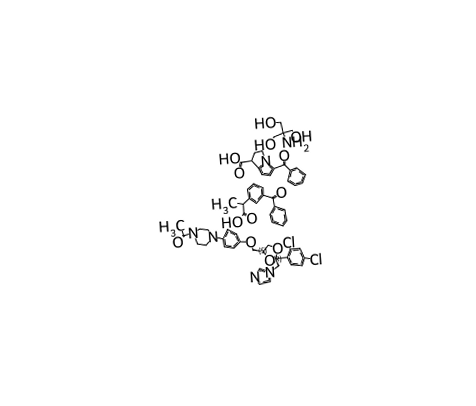 CC(=O)N1CCN(c2ccc(OC[C@H]3CO[C@](Cn4ccnc4)(c4ccc(Cl)cc4Cl)O3)cc2)CC1.CC(C(=O)O)c1cccc(C(=O)c2ccccc2)c1.NC(CO)(CO)CO.O=C(c1ccccc1)c1ccc2n1CCC2C(=O)O